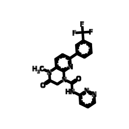 CN1C(=O)CN(C(=O)Nc2cccnn2)c2nc(-c3cccc(C(F)(F)F)c3)ccc21